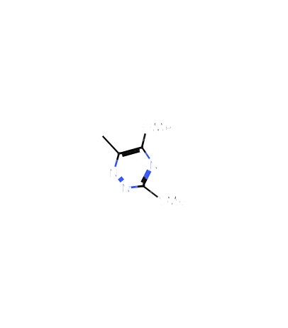 COc1nc(SC)nnc1C